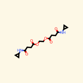 O=C(CCC(=O)OCCOC(=O)CCC(=O)NC1CC1)NC1CC1